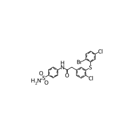 NS(=O)(=O)c1ccc(NC(=O)Cc2ccc(Cl)c(Sc3cc(Cl)ccc3Br)c2)cc1